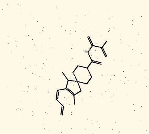 C=C/C=C\C1=C(C)CC2(CCC(C(=C)NC(=C)C(=C)C)CC2)C1C